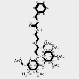 CC(=O)OC[C@@H]1O[C@H](OCCOCCNC(=O)OCc2ccccc2)[C@@H](O[C@H]2O[C@H](COC(C)=O)[C@@H](OC(C)=O)[C@H](OC(C)=O)[C@@H]2OC(C)=O)[C@@H](OC(C)=O)[C@@H]1C